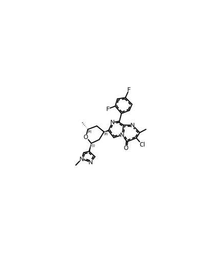 Cc1nc2c(-c3ccc(F)cc3F)nc([C@@H]3C[C@@H](C)O[C@H](c4cnn(C)c4)C3)cn2c(=O)c1Cl